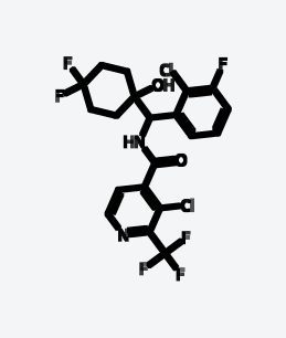 O=C(NC(c1cccc(F)c1Cl)C1(O)CCC(F)(F)CC1)c1ccnc(C(F)(F)F)c1Cl